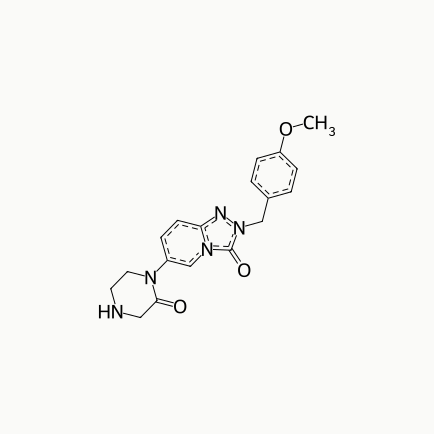 COc1ccc(Cn2nc3ccc(N4CCNCC4=O)cn3c2=O)cc1